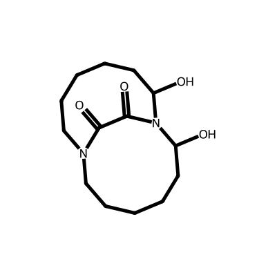 O=C1C(=O)N2C(O)CCCCCN1CCCCCC2O